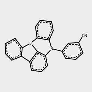 N#Cc1cccc(N2c3ccccc3B3c4ccccc4-c4cccc2c43)c1